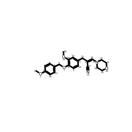 COc1ccc(COc2ccc(C/C(C#N)=C/N3CCOCC3)cc2OC)cc1